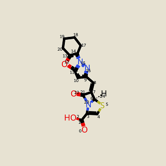 O=C(O)C1=CS[C@@H]2C(=Cc3cc4oc5c(n4n3)CCCC5)C(=O)N12